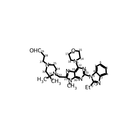 CCc1nc2ccccc2n1-c1nc(N2CCOCC2)c2nc(CN3CCN(CCC=O)CC3(C)C)n(C)c2n1